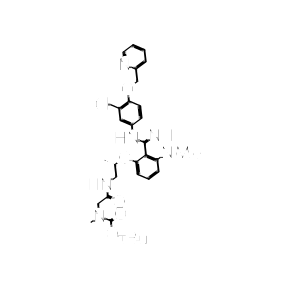 CNc1cccc(O[C@H](C)CNC(=O)CN(C)C(=O)OC(C)(C)C)c1C(=N)Nc1ccc(OCc2ccccn2)c(Cl)c1